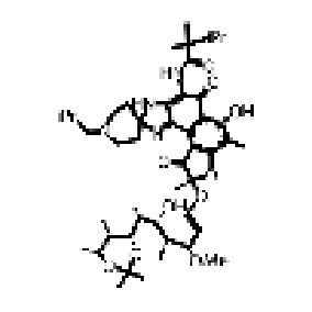 CO[C@@H](/C=C/O[C@@]1(C)Oc2c(C)c(O)c3c(c2C1=O)C1=NC2(CCN(CC(C)C)CC2)NC1=C(NC(=O)C(C)(C)C(C)C)C3=O)[C@@H](C)[C@@H](O)[C@H](C)[C@@H]1OC(C)(C)O[C@@H](C)[C@H]1C